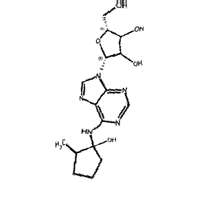 CC1CCCC1(O)Nc1ncnc2c1ncn2[C@@H]1O[C@H](CO)C(O)C1O